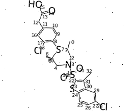 CCCN(C[C@@H](C)Sc1ccc(CC(=O)O)cc1Cl)S(=O)(=O)c1sc2ccc(Cl)cc2c1C